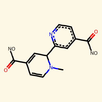 CN1C=CC(C(=O)N=O)=CC1c1cc(C(=O)N=O)ccn1